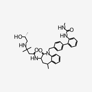 CNC(=O)Nc1ccccc1-c1ccc(CN2C(=O)C(NC(=O)CC(C)(C)NC[C@@H](C)O)CC(C)c3ccccc32)cc1